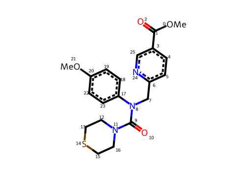 COC(=O)c1ccc(CN(C(=O)N2CCSCC2)c2ccc(OC)cc2)nc1